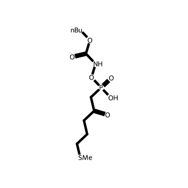 CCCCOC(=O)NOP(=O)(O)CC(=O)CCCSC